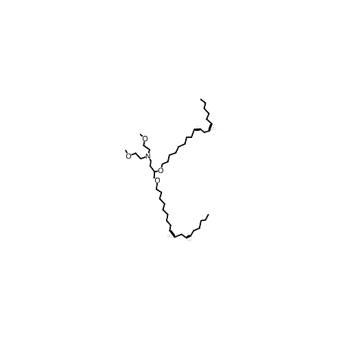 CCCCC/C=C\C/C=C\CCCCCCCCOCC(CCN(CCOC)CCOC)OCCCCCCCC/C=C\C/C=C\CCCCC